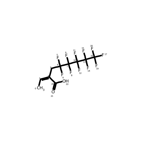 CC=C(CC(F)(F)C(F)(F)C(F)(F)C(F)(F)C(F)(F)F)C(=O)O